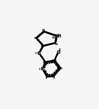 Clc1cccnc1OC1CCNC1